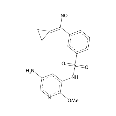 COc1ncc(N)cc1NS(=O)(=O)c1cccc(C(N=O)=C2CC2)c1